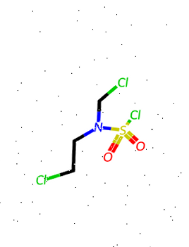 O=S(=O)(Cl)N(CCl)CCCl